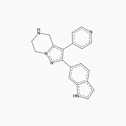 c1cc(-c2c(-c3ccc4cc[nH]c4c3)nn3c2CNCC3)ccn1